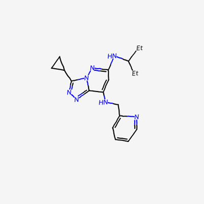 CCC(CC)Nc1cc(NCc2ccccn2)c2nnc(C3CC3)n2n1